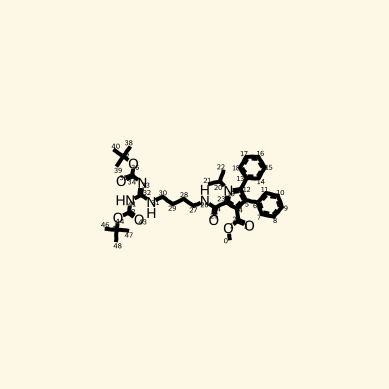 COC(=O)c1c(-c2ccccc2)c(-c2ccccc2)n(C(C)C)c1C(=O)NCCCCNC(=NC(=O)OC(C)(C)C)NC(=O)OC(C)(C)C